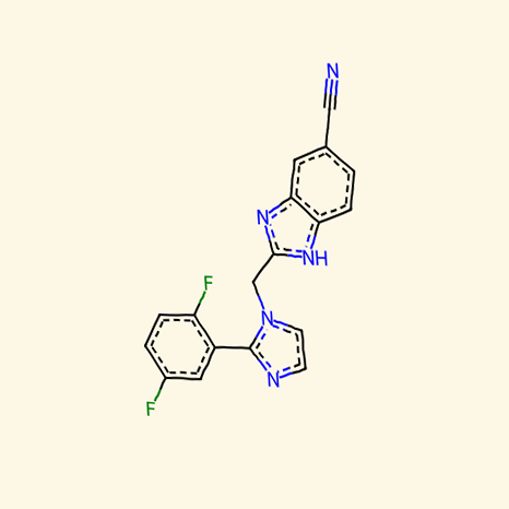 N#Cc1ccc2[nH]c(Cn3ccnc3-c3cc(F)ccc3F)nc2c1